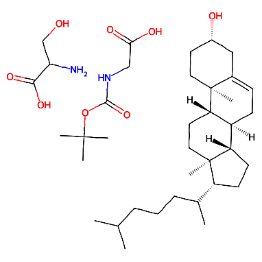 CC(C)(C)OC(=O)NCC(=O)O.CC(C)CCCC(C)[C@H]1CC[C@H]2[C@@H]3CC=C4C[C@@H](O)CC[C@]4(C)[C@H]3CC[C@]12C.NC(CO)C(=O)O